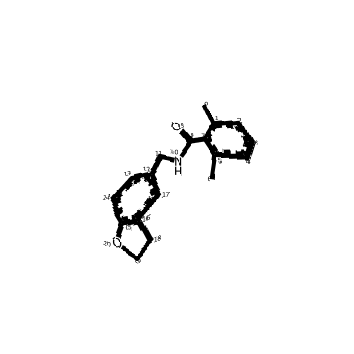 Cc1cccc(C)c1C(=O)NCc1ccc2c(c1)CCO2